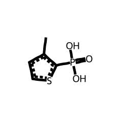 Cc1ccsc1P(=O)(O)O